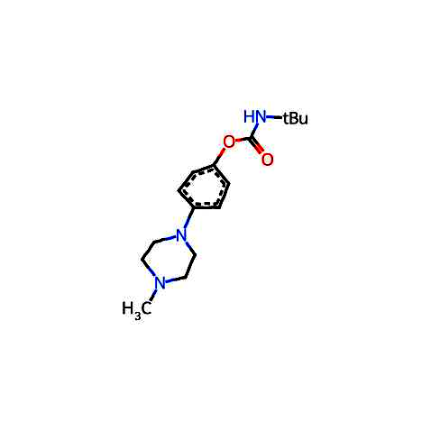 CN1CCN(c2ccc(OC(=O)NC(C)(C)C)cc2)CC1